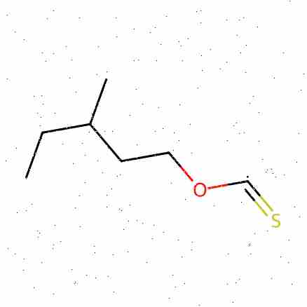 CCC(C)CCO[C]=S